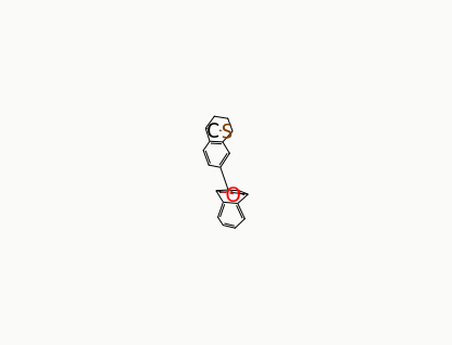 c1ccc2c3c(-c4ccc5c(c4)C4CCC5CS4)cc(c2c1)CO3